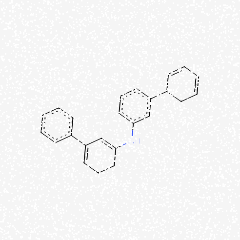 C1=CCC(c2cccc(NC3=CC(c4ccccc4)=CCC3)c2)C=C1